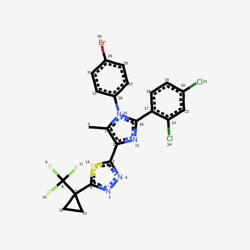 Cc1c(-c2nnc(C3(C(F)(F)F)CC3)s2)nc(-c2ccc(Cl)cc2Cl)n1-c1ccc(Br)cc1